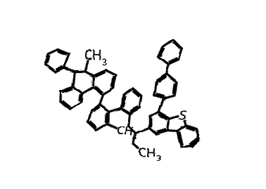 CCC(Cc1ccccc1-c1c(C)cccc1-c1cccc2c1-c1ccccc1C(c1ccccc1)C2C)c1cc(-c2ccc(-c3ccccc3)cc2)c2sc3cc#ccc3c2c1